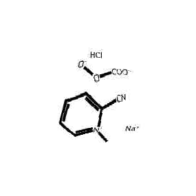 C[n+]1ccccc1C#N.Cl.O=C([O-])O[O-].[Na+]